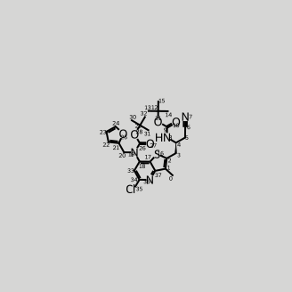 Cc1c(C[C@H](CC#N)NC(=O)OC(C)(C)C)sc2c(N(Cc3ccco3)C(=O)OC(C)(C)C)cc(Cl)nc12